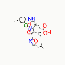 Cc1ccc(NC(=O)C[C@H](CCC(=O)O)c2noc(-c3ncc(CC(C)C)o3)c2C2CC2)c(Cl)c1